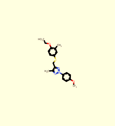 Cc1cc(SCc2nn(-c3ccc(OC(F)(F)F)cc3)nc2C)ccc1OCC(=O)O